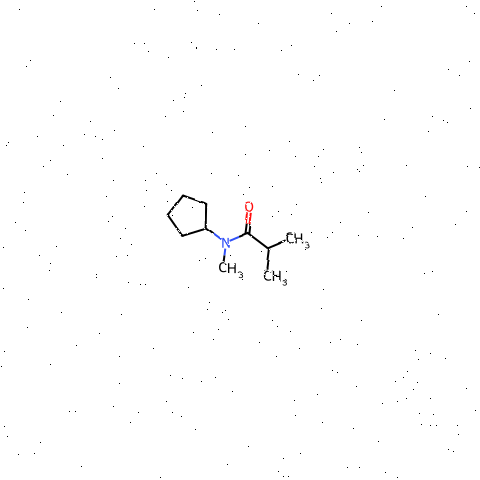 CC(C)C(=O)N(C)C1CCCC1